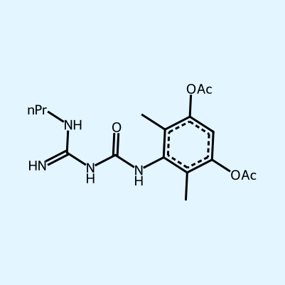 CCCNC(=N)NC(=O)Nc1c(C)c(OC(C)=O)cc(OC(C)=O)c1C